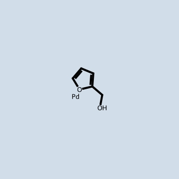 OCc1ccco1.[Pd]